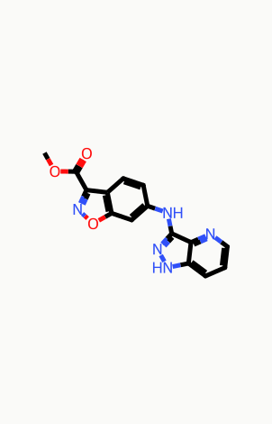 COC(=O)c1noc2cc(Nc3n[nH]c4cccnc34)ccc12